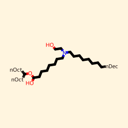 CCCCCCCCCCCCCCCCCCN(CCO)CCCCCCCC(O)OC(CCCCCCCC)CCCCCCCC